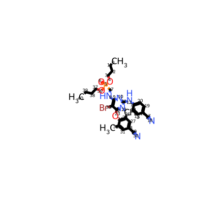 CCCCOP(=O)(CNc1nc(Nc2ccc(C#N)cc2)nc(Oc2c(C)cc(C#N)cc2C)c1Br)OCCCC